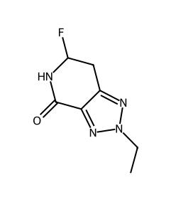 CCn1nc2c(n1)C(=O)NC(F)C2